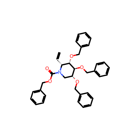 C=C[C@@H]1[C@H](OCc2ccccc2)[C@@H](OCc2ccccc2)[C@H](OCc2ccccc2)CN1C(=O)OCc1ccccc1